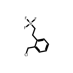 F[Si](F)(F)CCc1ccccc1CCl